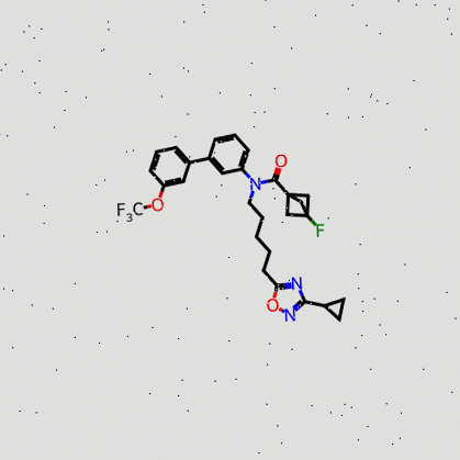 O=C(N(CCCCCc1nc(C2CC2)no1)c1cccc(-c2cccc(OC(F)(F)F)c2)c1)C12CC(F)(C1)C2